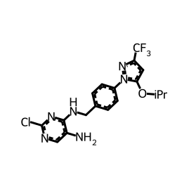 CC(C)Oc1cc(C(F)(F)F)nn1-c1ccc(CNc2nc(Cl)ncc2N)cc1